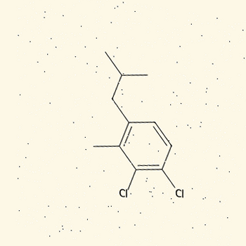 Cc1c(CC(C)C)ccc(Cl)c1Cl